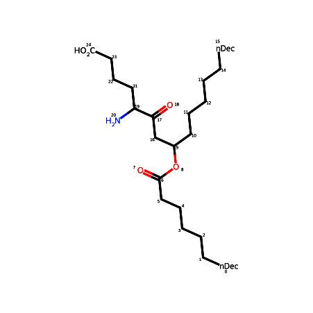 CCCCCCCCCCCCCCCC(=O)OC(CCCCCCCCCCCCCCC)CC(=O)C(N)CCCC(=O)O